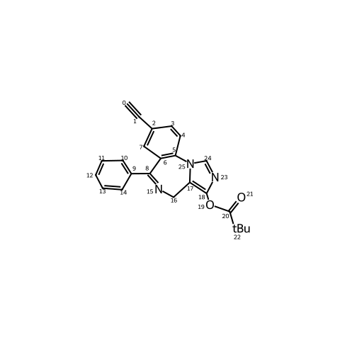 C#Cc1ccc2c(c1)C(c1ccccc1)=NCc1c(OC(=O)C(C)(C)C)ncn1-2